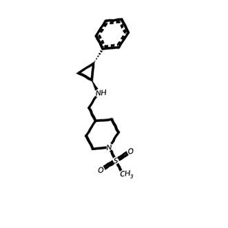 CS(=O)(=O)N1CCC(CN[C@H]2C[C@@H]2c2ccccc2)CC1